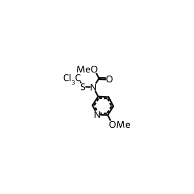 COC(=O)N(SC(Cl)(Cl)Cl)c1ccc(OC)nc1